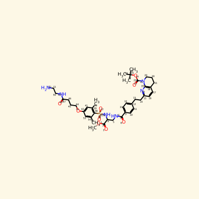 COC(=O)C(CNC(=O)c1ccc(CCc2ccc3c(n2)N(C(=O)OC(C)(C)C)CCC3)cc1)NS(=O)(=O)c1c(C)cc(OCCCC(=O)NCCN)cc1C